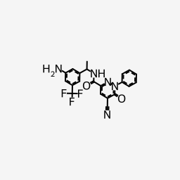 CC(NC(=O)c1cc(C#N)c(=O)n(-c2ccccc2)n1)c1cc(N)cc(C(F)(F)F)c1